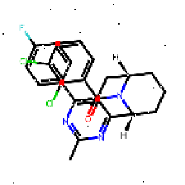 Cc1nc(-c2ccc(F)cc2)c2c(n1)[C@H]1CCC[C@@H](C2)N1C(=O)c1cccc(Cl)c1Cl